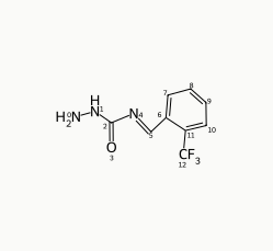 NNC(=O)N=Cc1ccccc1C(F)(F)F